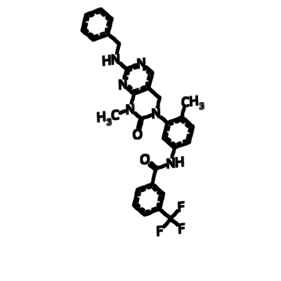 Cc1ccc(NC(=O)c2cccc(C(F)(F)F)c2)cc1N1Cc2cnc(NCc3ccccc3)nc2N(C)C1=O